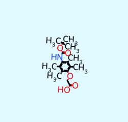 Cc1c(C)c(OCC(=O)O)c(C)c(C)c1NC(=O)OC(C)(C)C